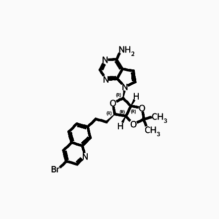 CC1(C)O[C@@H]2[C@H](O1)[C@@H](CCc1ccc3cc(Br)cnc3c1)O[C@H]2n1ccc2c(N)ncnc21